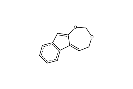 C1=C2OCOCC=C2c2ccccc21